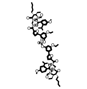 CCCCC[C@@H](C(=O)NCNC(=O)c1ccc(-c2cc(OCC)cc(O[PH](=O)Oc3cc(OCC)cc(-c4ccc(C(=O)NCNC(=O)[C@H](CCCCC)[C@@H](CC)N(C=O)OC(=O)c5ccc(OC)cc5C(C)C)o4)c3)c2)o1)[C@@H](CC)N(C=O)OC(=O)c1ccc(OC)cc1C(C)C